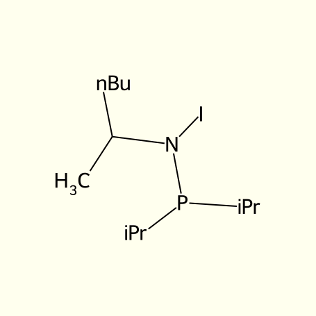 CCCCC(C)N(I)P(C(C)C)C(C)C